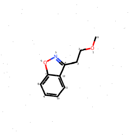 COCCc1noc2ccccc12